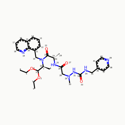 CCOC(OCC)[C@H](C)N(Cc1cccc2cccnc12)C(=O)[C@H](C)NC(=O)CN(C)NC(=O)NCc1ccncc1